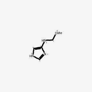 COCNc1c[nH]cn1